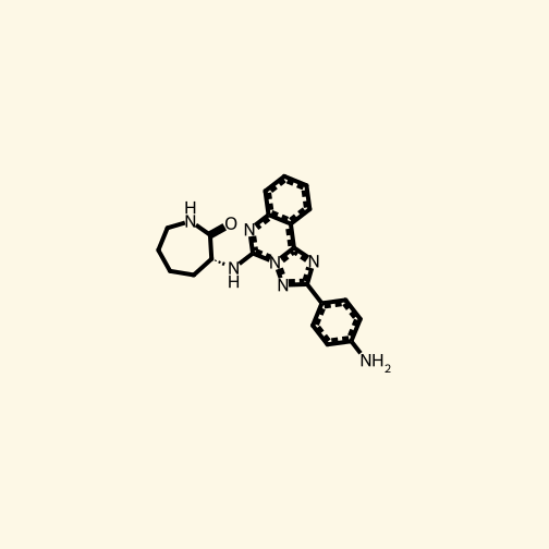 Nc1ccc(-c2nc3c4ccccc4nc(N[C@@H]4CCCCNC4=O)n3n2)cc1